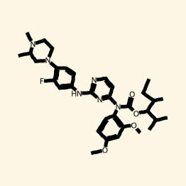 CCC(C)C(OC(=O)N(c1ccnc(Nc2ccc(N3CCN(C)C(C)C3)c(F)c2)n1)c1ccc(OC)cc1OC)C(C)C